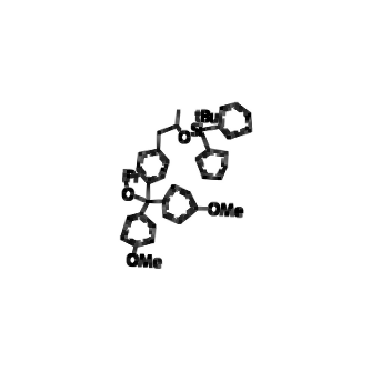 COc1ccc(C(OC(C)C)(c2ccc(CC(C)O[Si](c3ccccc3)(c3ccccc3)C(C)(C)C)cc2)c2ccc(OC)cc2)cc1